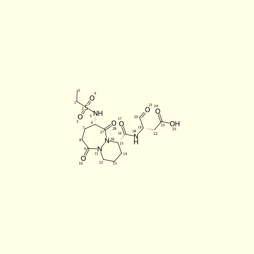 CCS(=O)(=O)N[C@H]1CCC(=O)N2CCC[C@@H](C(=O)N[C@H](C=O)CC(=O)O)N2C1=O